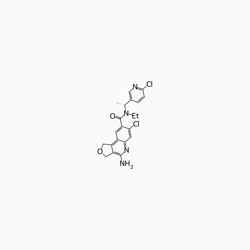 CCN(C(=O)c1cc2c3c(c(N)nc2cc1Cl)COC3)[C@H](C)c1ccc(Cl)nc1